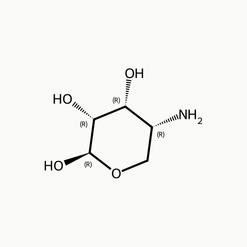 N[C@@H]1CO[C@@H](O)[C@H](O)[C@@H]1O